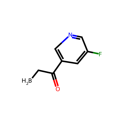 BCC(=O)c1cncc(F)c1